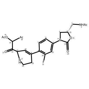 CC(=O)NC[C@H]1CN(c2ccc(C3=CC(C(=O)C(OC(C)=O)C(C)=O)NCC3)c(F)c2)C(=O)O1